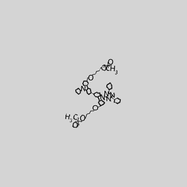 CCC1(COCCCCCOCc2ccc3c(c2)c2cc(-c4ccc5c(c4)c4cc(COCCCCCOCC6(C)COC6)ccc4n5-c4ccccc4)ccc2n3-c2nc(-c3ccccc3)nc(-c3ccccc3)n2)COC1